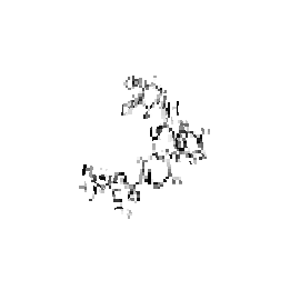 CC(C)(C)OC(=O)N1CC=C(c2c(C(=O)Nc3ccc(Cl)c(Cl)c3)c3ccc2o3)CC1